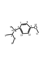 CCC(C)N(C)c1ccc(OC)cc1